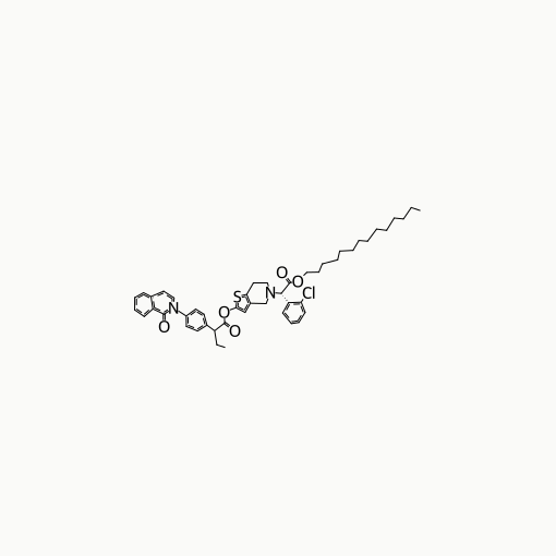 CCCCCCCCCCCCCCOC(=O)[C@H](c1ccccc1Cl)N1CCc2sc(OC(=O)C(CC)c3ccc(-n4ccc5ccccc5c4=O)cc3)cc2C1